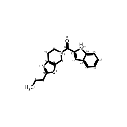 CC[CH]c1nc2c(s1)CN(C(=O)c1cc3ccccc3[nH]1)CC2